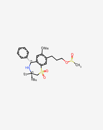 CCCC[C@]1(CC)CS(=O)(=O)c2cc(CCCOS(C)=O)c(OC)cc2[C@@H](c2ccccc2)N1